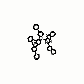 c1ccc(-c2ccc3c(c2)c2c4c5ccccc5n5c6ccc(-c7ccccc7)cc6c(cc2n3-c2nc(-c3ccc6ccccc6c3)nc3c2sc2ccccc23)c45)cc1